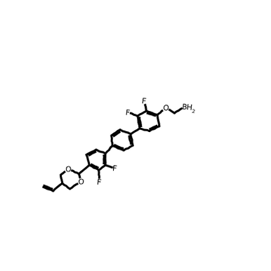 BCOc1ccc(-c2ccc(-c3ccc(C4OCC(C=C)CO4)c(F)c3F)cc2)c(F)c1F